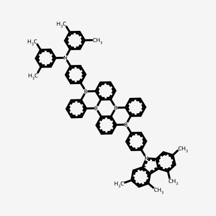 Cc1cc(C)cc(N(c2ccc(B3c4ccccc4B4c5cccc6c5B(c5ccccc5B6c5ccc(-n6c7cc(C)cc(C)c7c7c(C)cc(C)cc76)cc5)c5cccc3c54)cc2)c2cc(C)cc(C)c2)c1